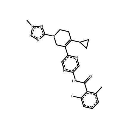 Cc1cccc(F)c1C(=O)Nc1cnc(C2=C(C3CC3)CCN(c3nnn(C)n3)C2)cn1